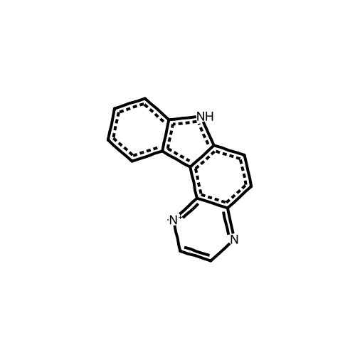 C1=C[N+]=c2c(ccc3[nH]c4ccccc4c23)=N1